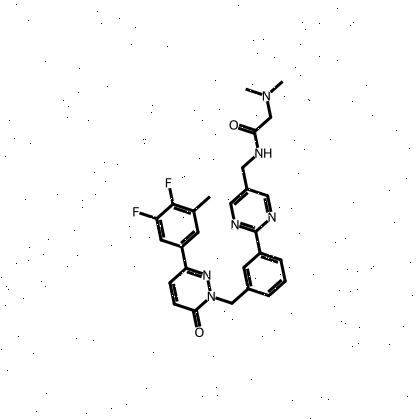 Cc1cc(-c2ccc(=O)n(Cc3cccc(-c4ncc(CNC(=O)CN(C)C)cn4)c3)n2)cc(F)c1F